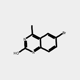 Cc1nc(O)nc2ccc(Br)cc12